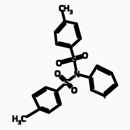 Cc1ccc(S(=O)(=O)N(c2c[c]ccc2)S(=O)(=O)c2ccc(C)cc2)cc1